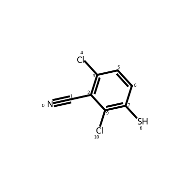 N#Cc1c(Cl)ccc(S)c1Cl